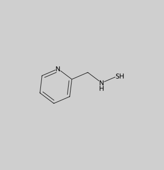 SNCc1ccccn1